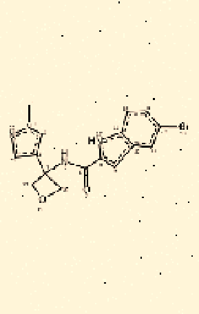 Cn1cc(C2(NC(=O)c3cc4cc(Br)ccc4[nH]3)COC2)cn1